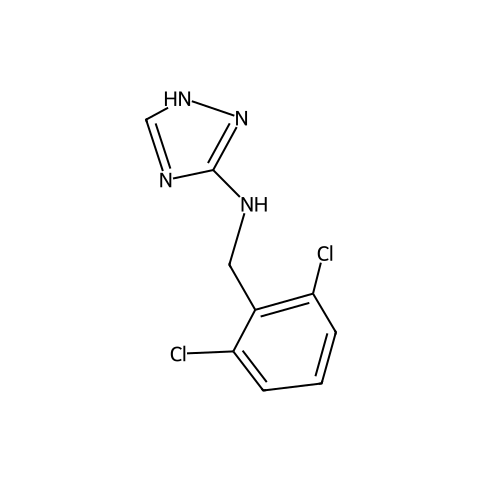 Clc1cccc(Cl)c1CNc1nc[nH]n1